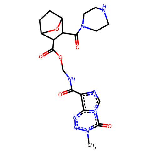 Cn1nnc2c(C(=O)NCOC(=O)C3C4CCC(O4)C3C(=O)N3CCNCC3)ncn2c1=O